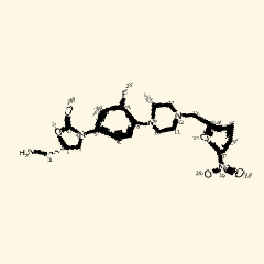 NC[C@H]1CN(c2ccc(N3CCN(Cc4ccc([N+](=O)[O-])o4)CC3)c(F)c2)C(=O)O1